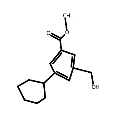 COC(=O)c1cc(CO)cc(C2CCCCC2)c1